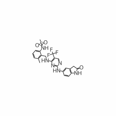 Cc1cccc(NS(C)(=O)=O)c1CNc1nc(Nc2ccc3c(c2)CC(=O)N3)ncc1C(F)(F)F